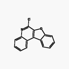 Clc1nc2ccccc2c2c1oc1ccccc12